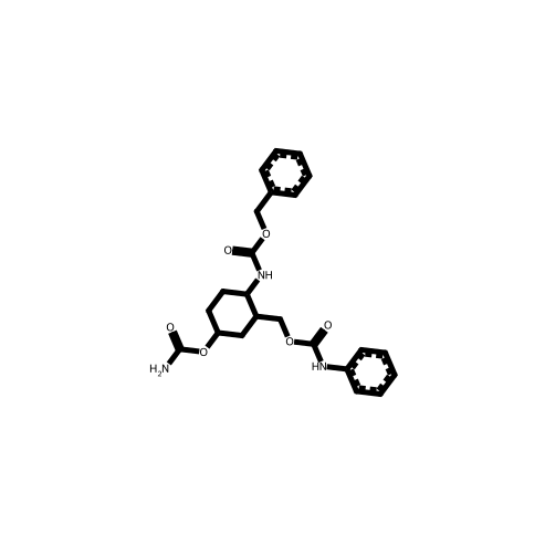 NC(=O)OC1CCC(NC(=O)OCc2ccccc2)C(COC(=O)Nc2ccccc2)C1